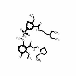 CCN(CC)CCNC(=O)c1cc(S(C)(=O)=O)ccc1OC.CCN1CCC[C@H]1CNC(=O)c1c(OC)ccc(Br)c1OC